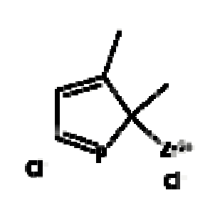 CC1=CC=P[C]1(C)[Zr+2].[Cl-].[Cl-]